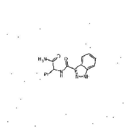 CC(C)C(NC(=O)c1n[nH]c2ccccc12)C(N)=O